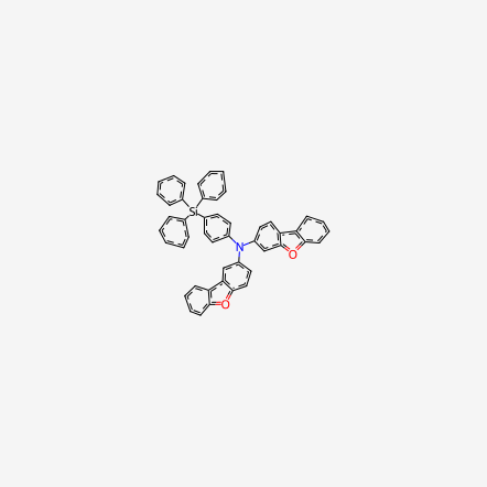 c1ccc([Si](c2ccccc2)(c2ccccc2)c2ccc(N(c3ccc4c(c3)oc3ccccc34)c3ccc4oc5ccccc5c4c3)cc2)cc1